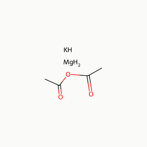 CC(=O)OC(C)=O.[KH].[MgH2]